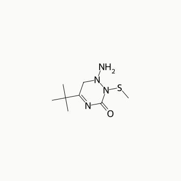 CSN1C(=O)N=C(C(C)(C)C)CN1N